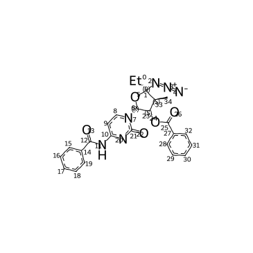 CC[C@@]1(N=[N+]=[N-])O[C@@H](n2ccc(NC(=O)c3ccccc3)nc2=O)[C@@H](OC(=O)c2ccccc2)[C@@H]1C